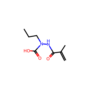 C=C(C)C(=O)NN(CCC)C(=O)O